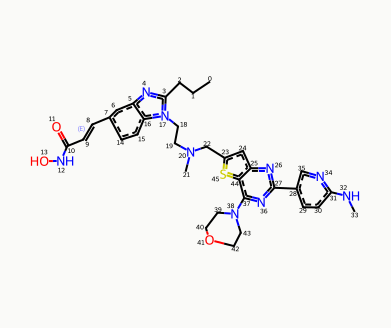 CCCc1nc2cc(/C=C/C(=O)NO)ccc2n1CCN(C)Cc1cc2nc(-c3ccc(NC)nc3)nc(N3CCOCC3)c2s1